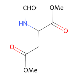 COC(=O)CC(N[C]=O)C(=O)OC